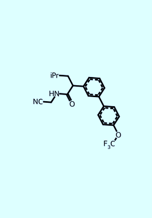 CC(C)CC(C(=O)NCC#N)c1cccc(-c2ccc(OC(F)(F)F)cc2)c1